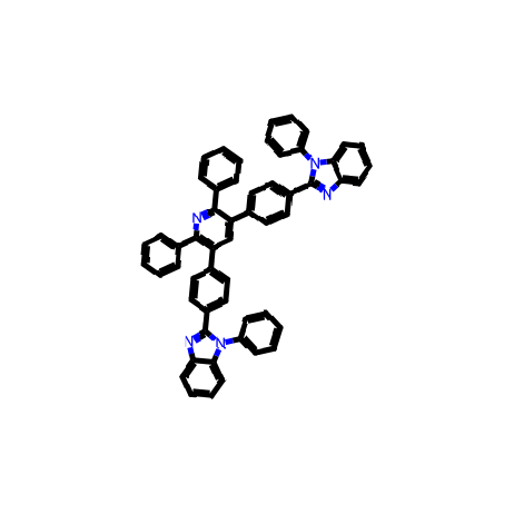 c1ccc(-c2nc(-c3ccccc3)c(-c3ccc(-c4nc5ccccc5n4-c4ccccc4)cc3)cc2-c2ccc(-c3nc4ccccc4n3-c3ccccc3)cc2)cc1